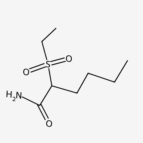 CCCCC(C(N)=O)S(=O)(=O)CC